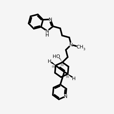 CN(CCCc1nc2ccccc2[nH]1)CC[C@@]1(O)C[C@@H]2CC[C@H]1C=C2c1cccnc1